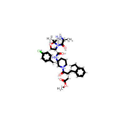 COC(=O)C[C@H](C(=O)N1CCC[C@](Cc2ccc(Cl)cc2)(NC(=O)[C@@H]2COC(C)(C)N2C(=O)[C@H](C)N)C1)[C@@H]1CCc2ccccc21